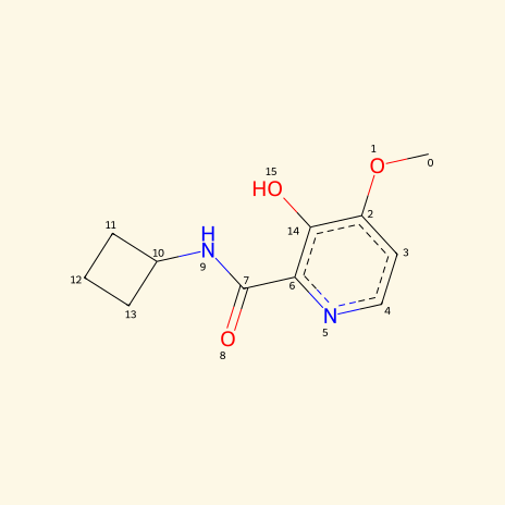 COc1ccnc(C(=O)NC2CCC2)c1O